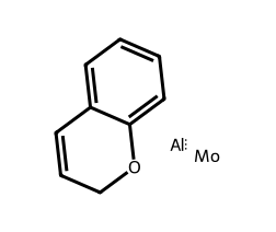 C1=Cc2ccccc2OC1.[Al].[Mo]